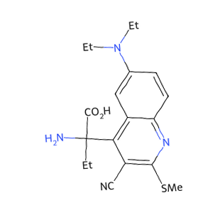 CCN(CC)c1ccc2nc(SC)c(C#N)c(C(N)(CC)C(=O)O)c2c1